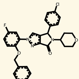 O=C1c2nn(-c3cc(F)ccc3OCc3ccccc3)cc2C(c2ccc(Cl)cc2)N1C1CCOCC1